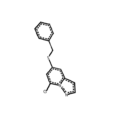 Clc1cc(SCc2ccccc2)cc2ccnn12